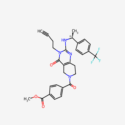 C#CCCn1c(N[C@@H](C)c2ccc(C(F)(F)F)cc2)nc2c(c1=O)CN(C(=O)c1ccc(C(=O)OC)cc1)CC2